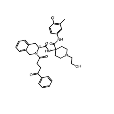 Cc1cc(NC(=O)C2(NC(=O)[C@@H]3Cc4ccccc4CN3C(=O)CCC(=O)c3ccccc3)CCN(CCO)CC2)ccc1Cl